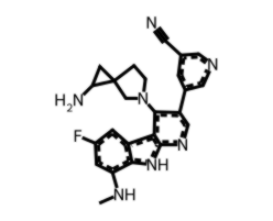 CNc1cc(F)cc2c1[nH]c1ncc(-c3cncc(C#N)c3)c(N3CCC4(CC4N)C3)c12